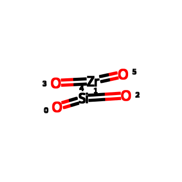 O=[Si]=O.[O]=[Zr]=[O]